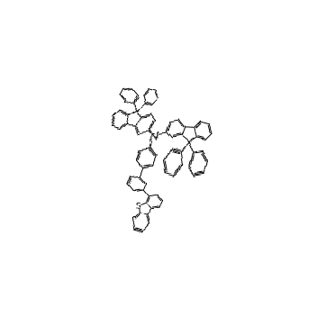 c1ccc(C2(c3ccccc3)c3ccccc3-c3cc(N(c4ccc(-c5cccc(-c6cccc7c6sc6ccccc67)c5)cc4)c4ccc5c(c4)C(c4ccccc4)(c4ccccc4)c4ccccc4-5)ccc32)cc1